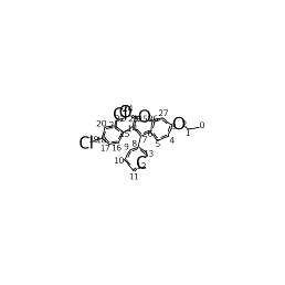 CCOc1ccc2c(-c3ccccc3)c(-c3ccc(Cl)cc3Cl)c(=O)oc2c1